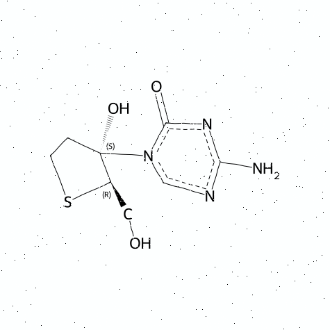 Nc1ncn([C@]2(O)CCS[C@@H]2CO)c(=O)n1